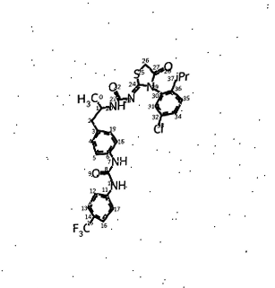 CC(Cc1ccc(NC(=O)Nc2ccc(C(F)(F)F)cc2)cc1)NC(=O)N=C1SCC(=O)N1c1cc(Cl)ccc1C(C)C